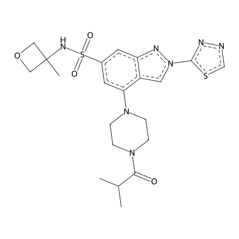 CC(C)C(=O)N1CCN(c2cc(S(=O)(=O)NC3(C)COC3)cc3nn(-c4nncs4)cc23)CC1